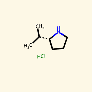 CC(C)[C@H]1CCCN1.Cl